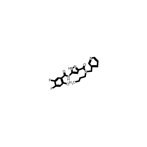 CCCCN(Cc1cccnc1)C(=O)c1cc(NC(=O)c2cc(F)c(F)cc2Cl)[nH]n1